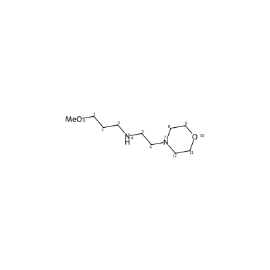 COCCCNCCN1CCOCC1